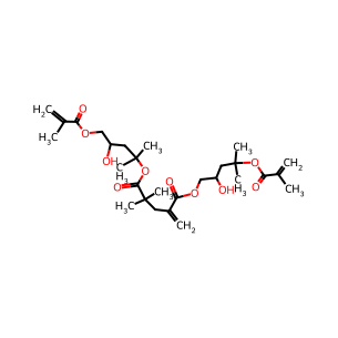 C=C(C)C(=O)OCC(O)CC(C)(C)OC(=O)C(C)(C)CC(=C)C(=O)OCC(O)CC(C)(C)OC(=O)C(=C)C